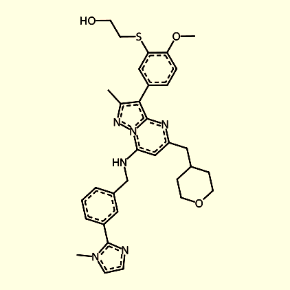 COc1ccc(-c2c(C)nn3c(NCc4cccc(-c5nccn5C)c4)cc(CC4CCOCC4)nc23)cc1SCCO